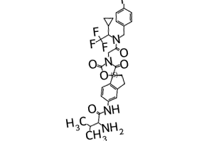 CC(C)C(N)C(=O)Nc1ccc2c(c1)CC[C@]21OC(=O)N(CC(=O)N(Cc2ccc(F)cc2)C(C2CC2)C(F)(F)F)C1=O